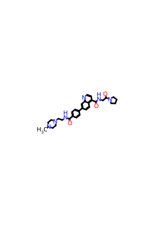 CN1CCN(CCNC(=O)c2ccc(-c3ccc4c(C(=O)NCC(=O)N5CCCC5)ccnc4c3)cc2)CC1